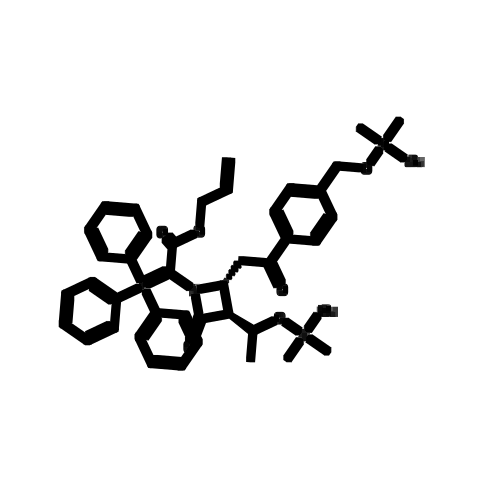 C=CCOC(=O)C(N1C(=O)[C@H](C(C)O[Si](C)(C)C(C)(C)C)[C@H]1CC(=O)c1ccc(CO[Si](C)(C)C(C)(C)C)cc1)=P(c1ccccc1)(c1ccccc1)c1ccccc1